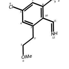 COCCc1cc(Cl)cc(N)c1C=N